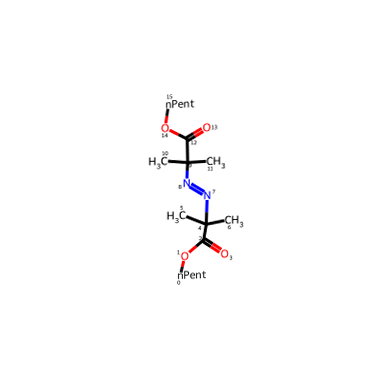 CCCCCOC(=O)C(C)(C)N=NC(C)(C)C(=O)OCCCCC